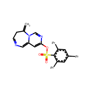 C=C1CC=NC=C2C=C(OS(=O)(=O)c3c(C(C)C)cc(C(C)C)cc3C(C)C)N=CN12